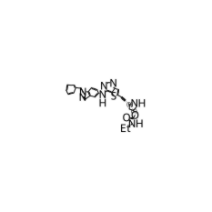 CCNC(=O)O[C@@H]1CN[C@@H](C#Cc2cc3ncnc(Nc4ccc5c(cnn5Cc5ccccc5)c4)c3s2)C1